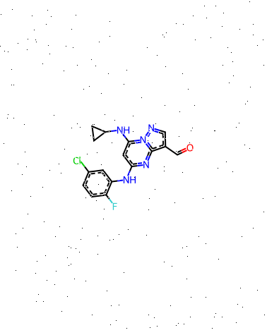 O=Cc1cnn2c(NC3CC3)cc(Nc3cc(Cl)ccc3F)nc12